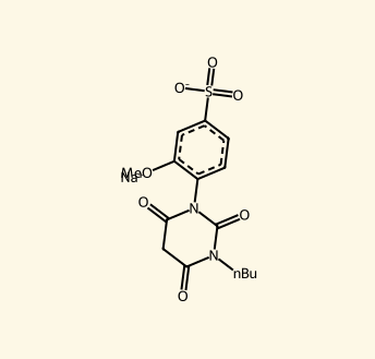 CCCCN1C(=O)CC(=O)N(c2ccc(S(=O)(=O)[O-])cc2OC)C1=O.[Na+]